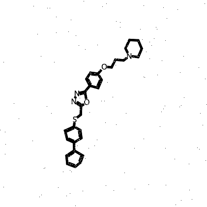 c1ccc(-c2ccc(SCc3nnc(-c4ccc(OCCCN5CCCCC5)cc4)o3)cc2)cc1